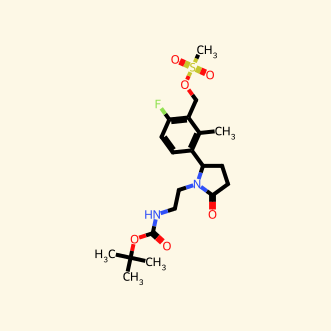 Cc1c(C2CCC(=O)N2CCNC(=O)OC(C)(C)C)ccc(F)c1COS(C)(=O)=O